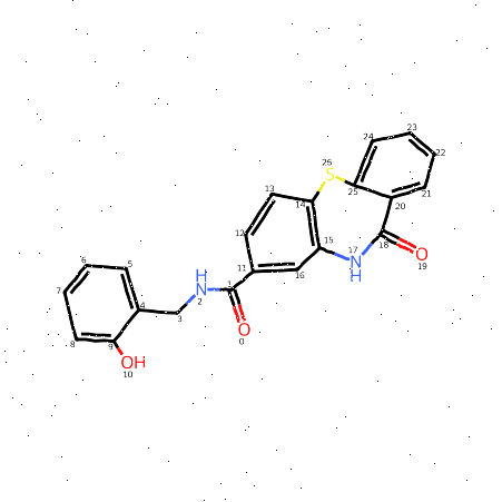 O=C(NCc1ccccc1O)c1ccc2c(c1)NC(=O)c1ccccc1S2